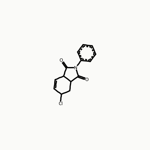 O=C1C2C=CC(Cl)CC2C(=O)N1c1ccccc1